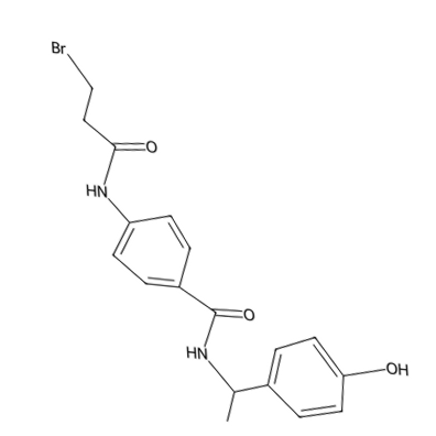 CC(NC(=O)c1ccc(NC(=O)CCBr)cc1)c1ccc(O)cc1